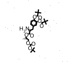 C[C@@H](COC(=O)OC(C)(C)C)OC(=O)[C@@H](N)Cc1ccc(OC(=O)C(C)(C)C)c(OC(=O)C(C)(C)C)c1